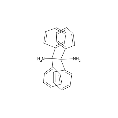 NC(c1ccccc1)(c1ccccc1)C(N)(c1ccccc1)c1ccccc1